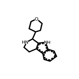 c1ccc2c3c([nH]c2c1)C(C1CCOCC1)NCC3